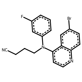 N#CCCCN(c1cccc(F)c1)c1ccnc2ccc(Br)cc12